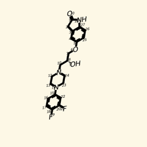 O=C1Cc2cc(OC[C@H](O)CN3CCN(c4ccc(F)c(F)c4)CC3)ccc2N1